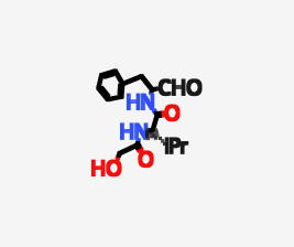 CC(C)[C@H](NC(=O)CO)C(=O)NC(C=O)Cc1ccccc1